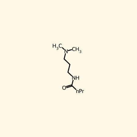 CCCC(=O)NCCCN(C)C